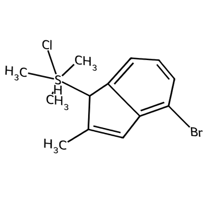 CC1=Cc2c(Br)cccc2C1[SH](C)(C)(C)Cl